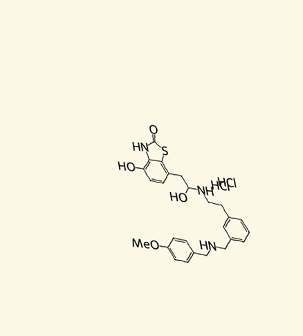 COc1ccc(CNCc2cccc(CCNC(O)Cc3ccc(O)c4[nH]c(=O)sc34)c2)cc1.Cl.Cl